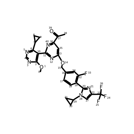 COc1ncnc(C2CC2)c1-c1nc(OCc2ccc(-c3nc(C(F)(F)F)cn3C3CC3)c(F)c2)cc(C(C)=O)n1